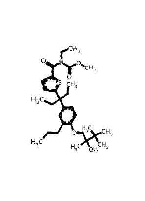 CCCc1cc(C(CC)(CC)c2ccc(C(=O)N(CC)C(=O)OC)s2)ccc1OCC(C)(O)C(C)(C)C